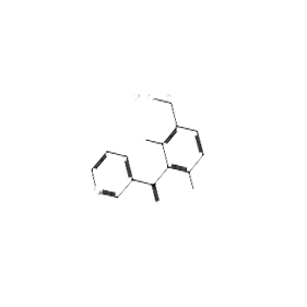 CC[C@@H](NC)c1ccc(Cl)c(C(=O)c2cccnc2)c1F